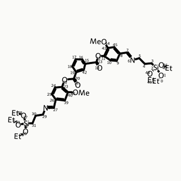 CCO[Si](CCC/N=C/c1ccc(OC(=O)c2cccc(C(=O)Oc3ccc(/C=N/CCC[Si](OCC)(OCC)OCC)cc3OC)c2)c(OC)c1)(OCC)OCC